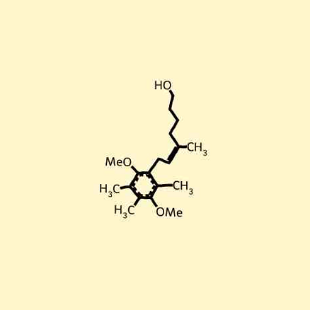 COc1c(C)c(C)c(OC)c(CC=C(C)CCCCO)c1C